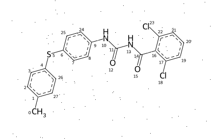 Cc1ccc(Sc2ccc(NC(=O)NC(=O)c3c(Cl)cccc3Cl)cc2)cc1